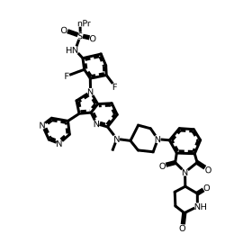 CCCS(=O)(=O)Nc1ccc(F)c(-n2cc(-c3cncnc3)c3nc(N(C)C4CCN(c5cccc6c5C(=O)N(C5CCC(=O)NC5=O)C6=O)CC4)ccc32)c1F